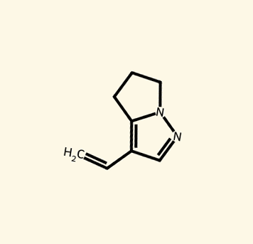 C=Cc1cnn2c1CCC2